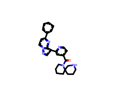 O=C(c1ccnc(-c2cnn3ccc(-c4ccccc4)nc23)c1)N1CCCCC12CCCNC2